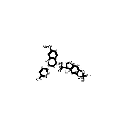 COc1ccc2c(c1)O[C@@H](c1ccc(Cl)nn1)C[C@H]2NC(=O)[C@@]1(C)COc2cc3c(cc21)OC(F)(F)O3